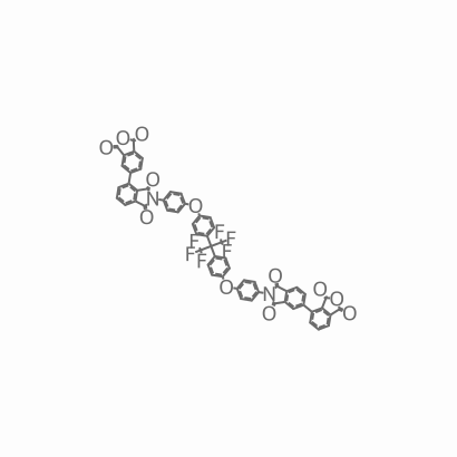 O=C1OC(=O)c2cc(-c3cccc4c3C(=O)N(c3ccc(Oc5ccc(C(c6ccc(Oc7ccc(N8C(=O)c9ccc(-c%10cccc%11c%10C(=O)OC%11=O)cc9C8=O)cc7)cc6)(C(F)(F)F)C(F)(F)F)cc5)cc3)C4=O)ccc21